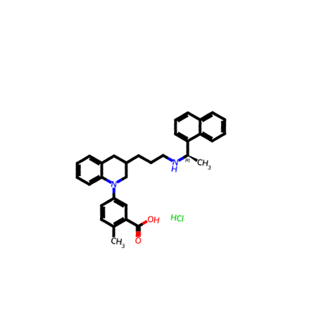 Cc1ccc(N2CC(CCCN[C@H](C)c3cccc4ccccc34)Cc3ccccc32)cc1C(=O)O.Cl